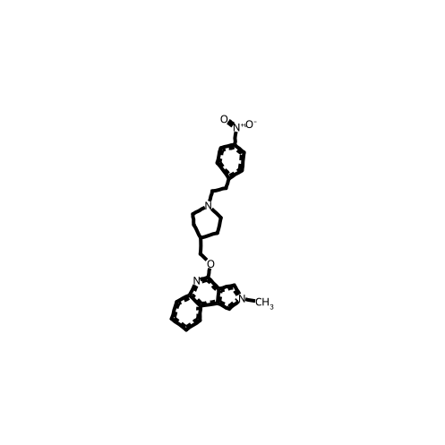 Cn1cc2c(OCC3CCN(CCc4ccc([N+](=O)[O-])cc4)CC3)nc3ccccc3c2c1